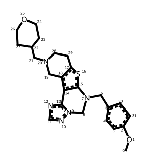 COc1ccc(CN2Cn3ncnc3-c3c2sc2c3CN(CC3CCOCC3)CC2)cc1